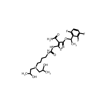 CC(O)CN(CCCCNC(=O)Nc1snc(OC(C)c2c(F)ccc(F)c2F)c1C(N)=O)CC(C)O